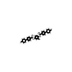 Cc1cc(OC(=O)c2ccc(C3CCC(C)CC3)cc2)ccc1OC(=O)c1ccc(C2CCC(C)CC2)cc1